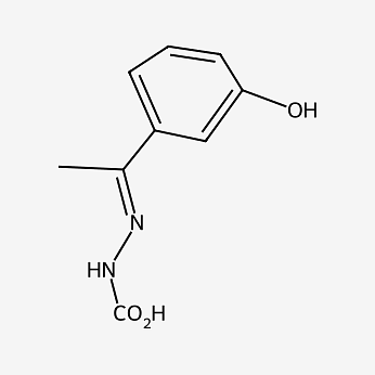 CC(=NNC(=O)O)c1cccc(O)c1